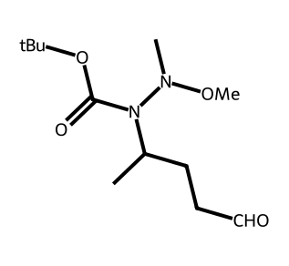 CON(C)N(C(=O)OC(C)(C)C)C(C)CCC=O